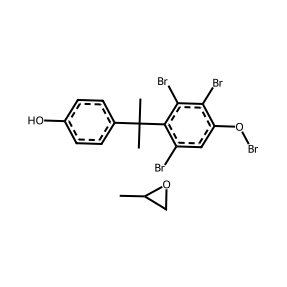 CC(C)(c1ccc(O)cc1)c1c(Br)cc(OBr)c(Br)c1Br.CC1CO1